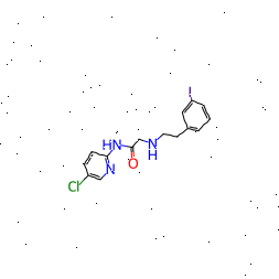 O=C(CNCCc1cccc(I)c1)Nc1ccc(Cl)cn1